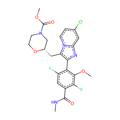 CNC(=O)c1cc(F)c(-c2nc3cc(Cl)ccn3c2C[C@H]2CN(C(=O)OC)CCO2)c(OC)c1F